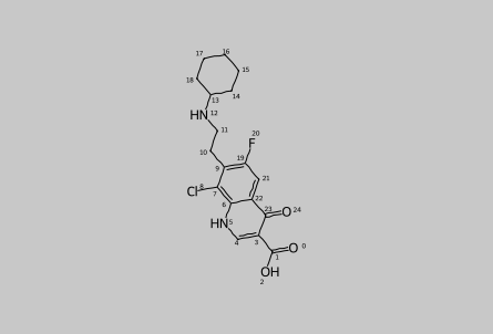 O=C(O)c1c[nH]c2c(Cl)c(CCNC3CCCCC3)c(F)cc2c1=O